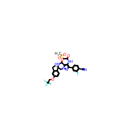 CS(=O)(=O)CC(=O)Nc1c(-c2ccc(C#N)c(F)c2)nn2c1C(=O)N[C@@]1(CCc3cc(OCC(F)(F)F)ccc31)C2